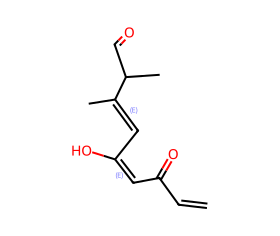 C=CC(=O)/C=C(O)\C=C(/C)C(C)C=O